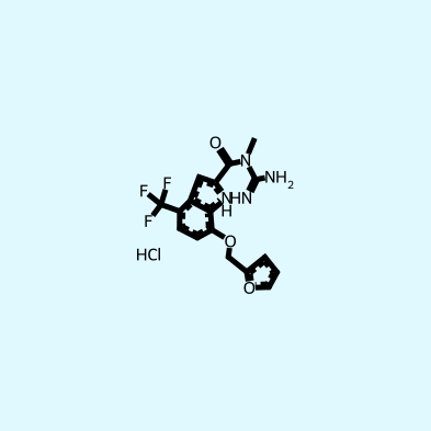 CN(C(=N)N)C(=O)c1cc2c(C(F)(F)F)ccc(OCc3ccco3)c2[nH]1.Cl